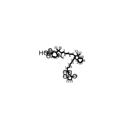 CN1\C(=C/C=C/C=C/C2=C(CCCCCC(=O)ON3C(=O)CCC3=O)c3ccccc3C2(C)C)C(C)(C)c2cc(S(=O)(=O)O)ccc21